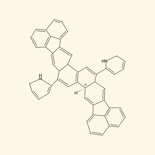 C1=CCNC(C2=CC3=C(C=C(C4=CC=CCN4)C4C=C5C(=C[C@@H]34)c3cccc4cccc5c34)C3C=C4C(=CC23)c2cccc3cccc4c23)=C1